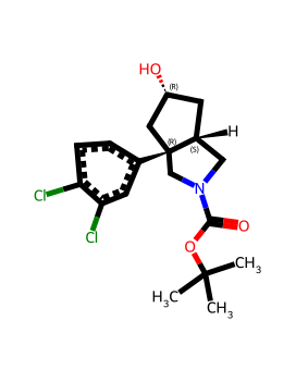 CC(C)(C)OC(=O)N1C[C@H]2C[C@@H](O)C[C@@]2(c2ccc(Cl)c(Cl)c2)C1